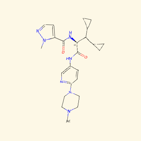 CC(=O)N1CCN(c2ccc(NC(=O)[C@@H](NC(=O)c3ccnn3C)C(C3CC3)C3CC3)cn2)CC1